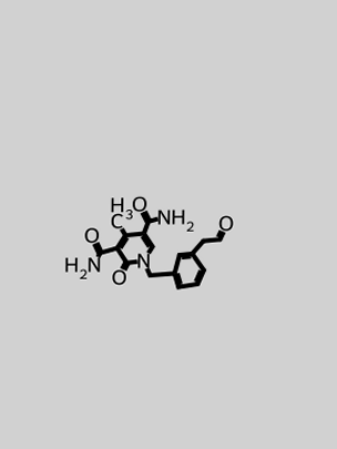 Cc1c(C(N)=O)cn(Cc2cccc(CC=O)c2)c(=O)c1C(N)=O